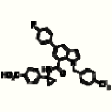 O=C(O)c1ccc(C2(NC(=O)c3cc(-c4ccc(F)cc4)cc4ccn(Cc5ccc(C(F)(F)F)cc5)c34)CC2)cc1